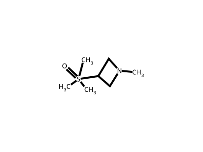 CN1CC(S(C)(C)(C)=O)C1